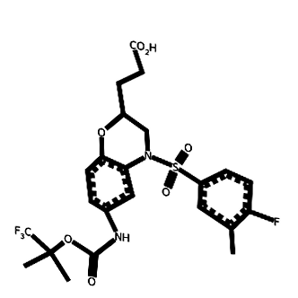 Cc1cc(S(=O)(=O)N2CC(CCC(=O)O)Oc3ccc(NC(=O)OC(C)(C)C(F)(F)F)cc32)ccc1F